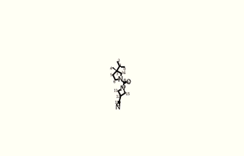 CC(C)[C@@]1(C)CCN(C(=O)N2CC(C#N)C2)C1